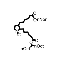 CCCCCCCCCOC(=O)CCCCCC1CCN(CC)C1CCCCCC(=O)OC(CCCCCCCC)CCCCCCCC